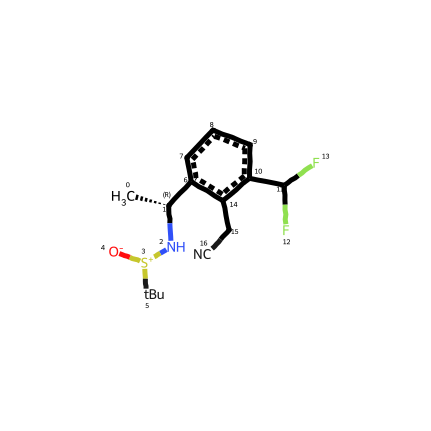 C[C@@H](N[S+]([O-])C(C)(C)C)c1cccc(C(F)F)c1CC#N